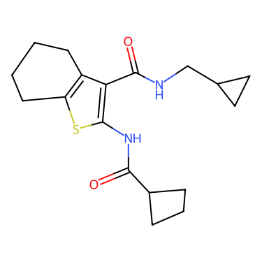 O=C(NCC1CC1)c1c(NC(=O)C2CCC2)sc2c1CCCC2